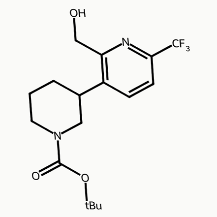 CC(C)(C)OC(=O)N1CCCC(c2ccc(C(F)(F)F)nc2CO)C1